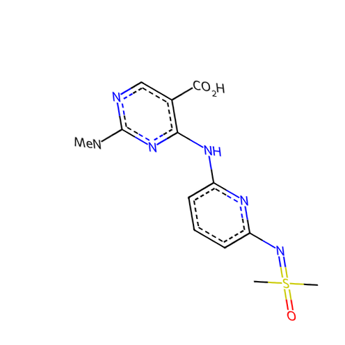 CNc1ncc(C(=O)O)c(Nc2cccc(N=S(C)(C)=O)n2)n1